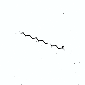 C=C(CCCOCCCCCCCCCCCCCCCCCC)C(=O)O